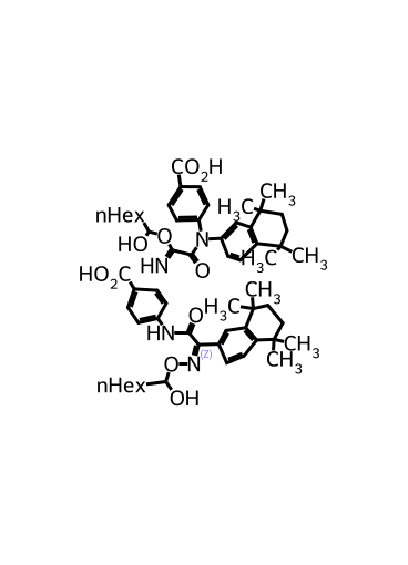 CCCCCCC(O)O/N=C(\C(=O)Nc1ccc(C(=O)O)cc1)c1ccc2c(c1)C(C)(C)CCC2(C)C.CCCCCCC(O)OC(=N)C(=O)N(c1ccc(C(=O)O)cc1)c1ccc2c(c1)C(C)(C)CCC2(C)C